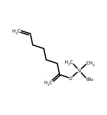 C=CCCCCC(=C)O[Si](C)(C)C(C)(C)C